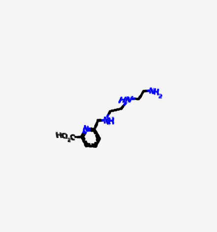 NCCNCCNCc1cccc(C(=O)O)n1